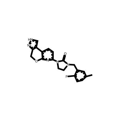 Cc1ccc(F)c(CN2CCN(c3ccc4c(n3)OCc3n[nH]cc3-4)C2=O)c1